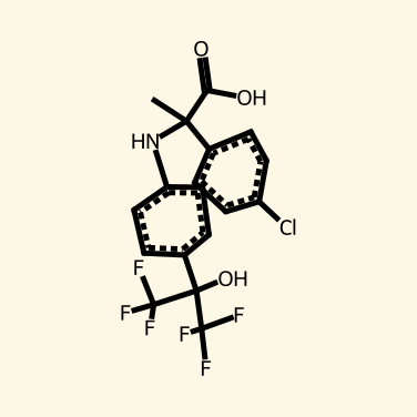 CC(Nc1ccc(C(O)(C(F)(F)F)C(F)(F)F)cc1)(C(=O)O)c1ccc(Cl)cc1